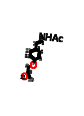 CC(=O)N/C=C/c1ccc(OCC2CO2)cc1